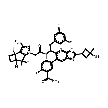 CC1(O)CN(c2nc3cc(-c4ccc(F)c(C(N)=O)c4)c([C@H](Cc4cc(F)cc(F)c4)NC(=O)Cn4nc(C(F)(F)F)c5c4C(F)(F)[C@@H]4CC[C@H]54)nc3o2)C1